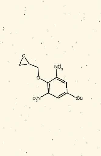 CC(C)(C)c1cc([N+](=O)[O-])c(OCC2CO2)c([N+](=O)[O-])c1